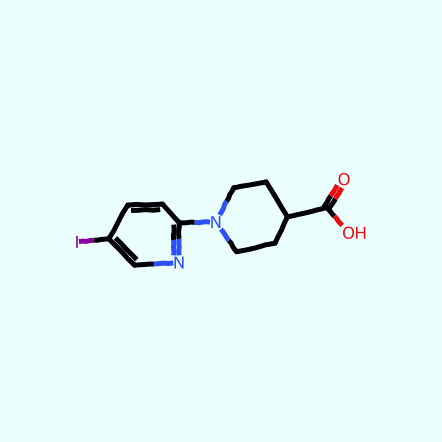 O=C(O)C1CCN(c2ccc(I)cn2)CC1